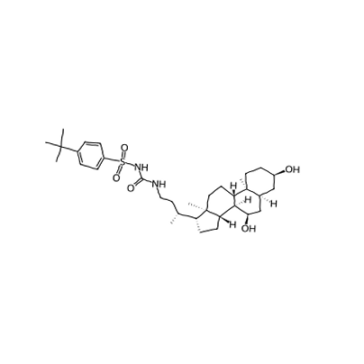 C[C@H](CCNC(=O)NS(=O)(=O)c1ccc(C(C)(C)C)cc1)[C@H]1CC[C@H]2[C@@H]3[C@H](O)C[C@@H]4C[C@H](O)CC[C@]4(C)[C@H]3CC[C@]12C